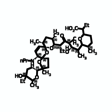 CCCN[C@@H]1C=C[C@]2(O[C@H]([C@@H](CC)C(=O)[C@@H](C)[C@@H](O)[C@H](C)C3OC(C(CC)C(=O)O)CC[C@@H]3C)[C@@H](C)C[C@H]2C)O[C@@]12CC[C@@](C)([C@H]1CC[C@](O)(CC)[C@H](C)O1)O2